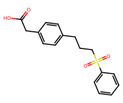 O=C(O)Cc1ccc(CCCS(=O)(=O)c2ccccc2)cc1